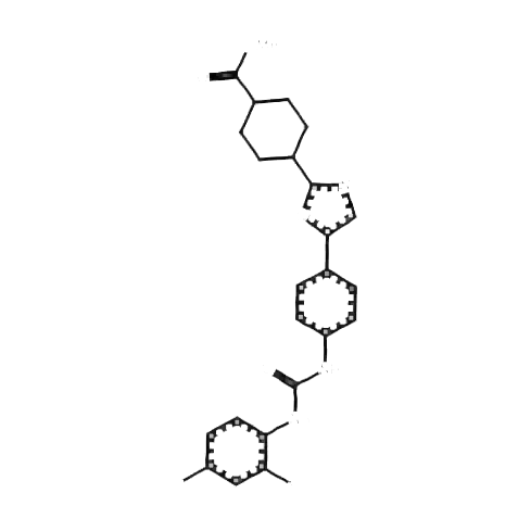 COC(=O)C1CCC(c2ncc(-c3ccc(NC(=O)Nc4ccc(F)cc4F)cc3)s2)CC1